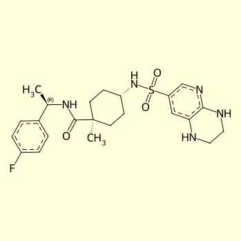 C[C@@H](NC(=O)[C@]1(C)CC[C@@H](NS(=O)(=O)c2cnc3c(c2)NCCN3)CC1)c1ccc(F)cc1